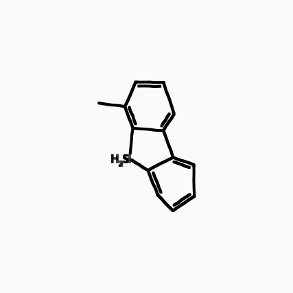 Cc1cccc2c1[SiH2]c1ccccc1-2